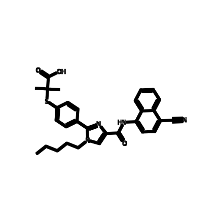 CCCCCn1cc(C(=O)Nc2ccc(C#N)c3ccccc23)nc1-c1ccc(SC(C)(C)C(=O)O)cc1